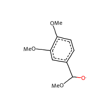 COc1ccc(C([O])OC)cc1OC